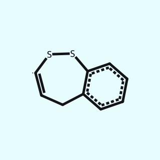 [C]1=CCc2ccccc2SS1